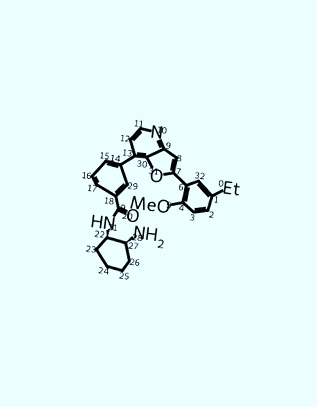 CCc1ccc(OC)c(-c2cc3nccc(-c4cccc(C(=O)N[C@@H]5CCCC[C@@H]5N)c4)c3o2)c1